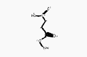 CC(C)(C)OC(=O)CCS(=O)O